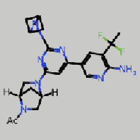 CC(=O)N1C[C@@H]2C[C@H]1CN2c1cc(-c2cnc(N)c(C(C)(F)F)c2)nc(N2CC3CC2C3)n1